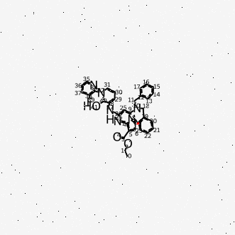 CCOC(=O)c1cnn2c(N(Cc3ccccc3)Cc3ccccc3)cc(NC3=CC=CN(c4ncccc4F)C3O)nc12